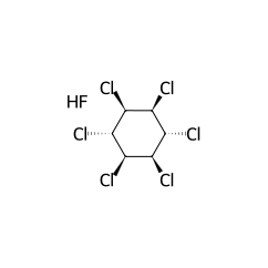 Cl[C@H]1[C@H](Cl)[C@@H](Cl)[C@@H](Cl)[C@H](Cl)[C@H]1Cl.F